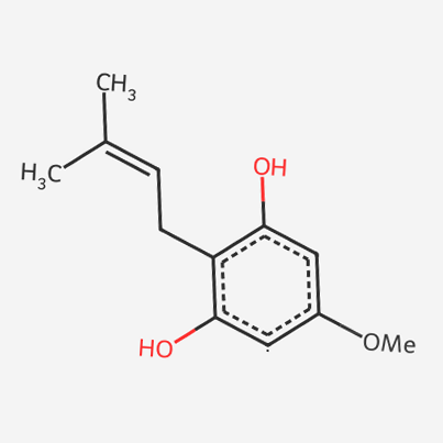 COc1[c]c(O)c(CC=C(C)C)c(O)c1